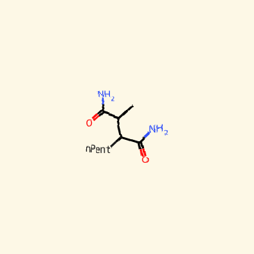 CCCCCC(C(N)=O)C(C)C(N)=O